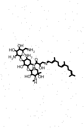 CNC1C(O)C(OC2C(NC(=O)C(O)CN=C/C=C(\C)CC/C=C(\C)CCC=C(C)C)CC(N)C(OC3OC(CN)C(O)C(O)C3N)C2O)OCC1(C)O